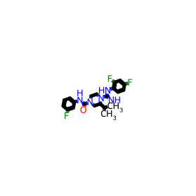 CC(C)C1CN(C(=O)Nc2cccc(F)c2)CCN1C(=N)Nc1ccc(F)cc1F